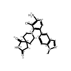 Cn1ncc2cc(-c3cnc(N)c(Cl)c3N3CCC4(CC3)CC(=O)NC4=O)ccc21